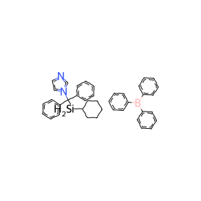 c1ccc(B(c2ccccc2)c2ccccc2)cc1.c1ccc(C([SiH2]C2CCCCC2)(c2ccccc2)n2ccnc2)cc1